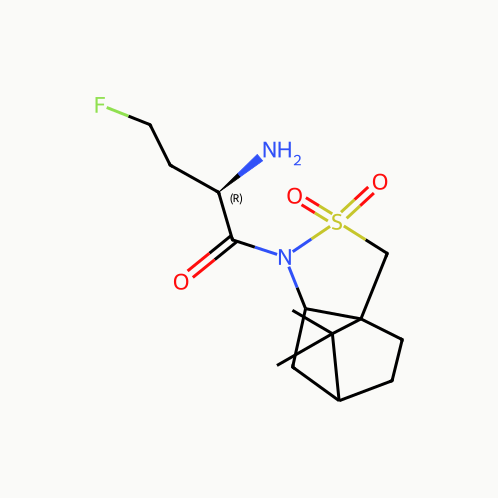 CC1(C)C2CCC13CS(=O)(=O)N(C(=O)[C@H](N)CCF)C3C2